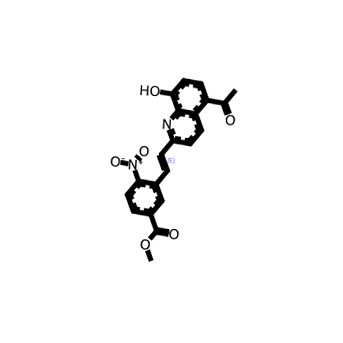 COC(=O)c1ccc([N+](=O)[O-])c(/C=C/c2ccc3c(C(C)=O)ccc(O)c3n2)c1